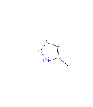 C[C]1CCCN1